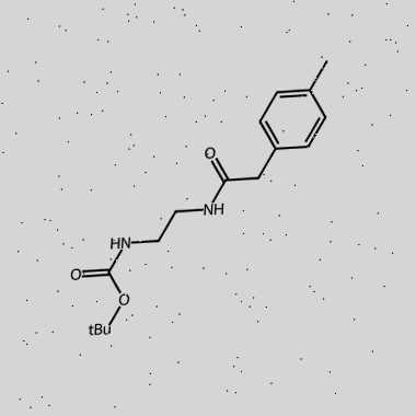 Cc1ccc(CC(=O)NCCNC(=O)OC(C)(C)C)cc1